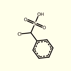 O=S(=O)(O)C(Cl)c1ccccc1